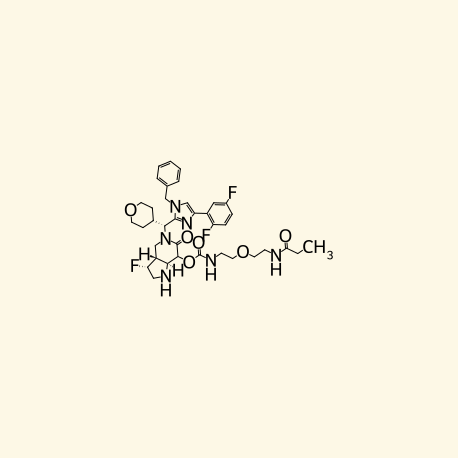 CCC(=O)NCCOCCNC(=O)OC1C(=O)N([C@@H](c2nc(-c3cc(F)ccc3F)cn2Cc2ccccc2)C2CCOCC2)C[C@@H]2[C@@H]1NC[C@@H]2F